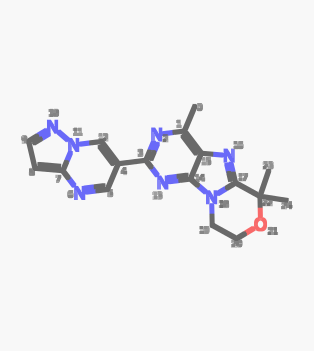 Cc1nc(-c2cnc3ccnn3c2)nc2c1nc1n2CCOC1(C)C